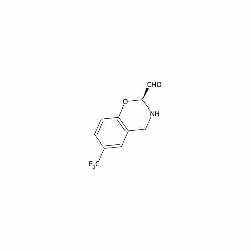 O=C[C@H]1NCc2cc(C(F)(F)F)ccc2O1